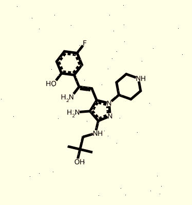 CC(C)(O)CNc1nn(C2CCNCC2)c(/C=C(\N)c2cc(F)ccc2O)c1N